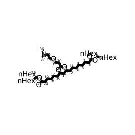 CCCCCCC(CCCCCC)OC(=O)CCCCCCCC(CCCCCCCC(=O)OC(CCCCCC)CCCCCC)OC(=O)CCOCCN(C)C